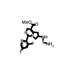 COC(=O)C1=C2CC(NSN)CN2C(c2ncc(F)cc2F)=NC1